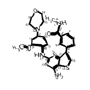 CNC(=O)c1cccc(-c2csc3c(N)nc(Nc4ccc(N5CCOCC5)cc4OC)nc23)c1